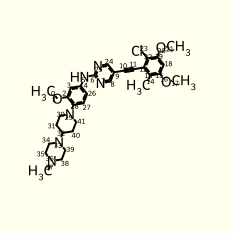 COc1cc(Nc2ncc(C#Cc3c(C)c(OC)cc(OC)c3Cl)cn2)ccc1N1CCC(N2CCN(C)CC2)CC1